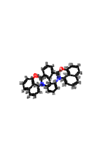 c1cc2c3c(c1)B1Oc4cccc5cccc(c45)N1c1cccc(c1-3)N1B2Oc2cccc3cccc1c23